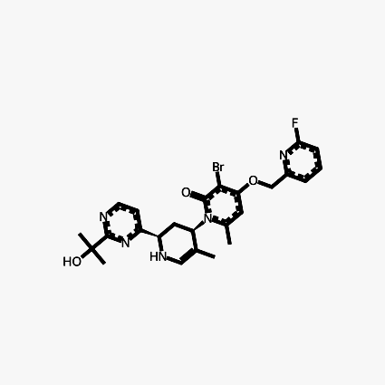 CC1=CN[C@@H](c2ccnc(C(C)(C)O)n2)C[C@H]1n1c(C)cc(OCc2cccc(F)n2)c(Br)c1=O